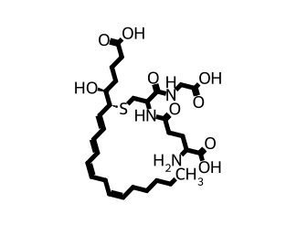 CCCCC/C=C\C\C=C/C=C/C=C/[C@@H](SCC(NC(=O)CCC(N)C(=O)O)C(=O)NCC(=O)O)[C@@H](O)CCCC(=O)O